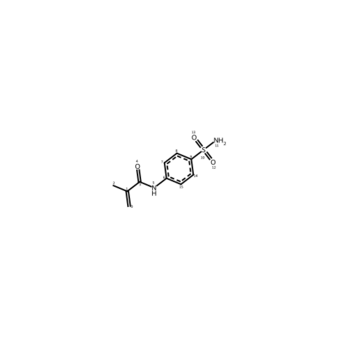 C=C(C)C(=O)Nc1ccc(S(N)(=O)=O)cc1